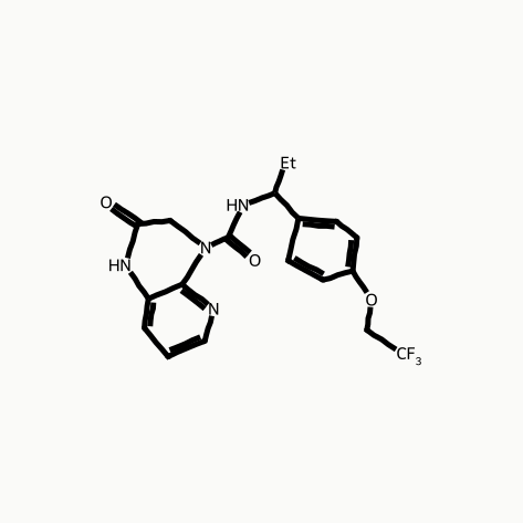 CCC(NC(=O)N1CC(=O)Nc2cccnc21)c1ccc(OCC(F)(F)F)cc1